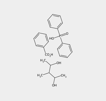 CC(O)C(C)C(C)O.O=C(O)c1ccccc1.O=P(O)(c1ccccc1)c1ccccc1